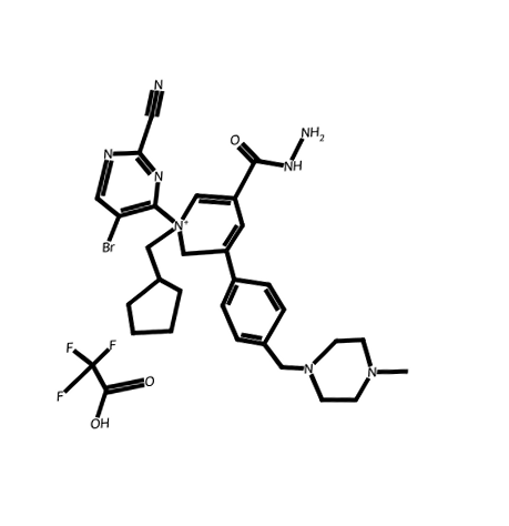 CN1CCN(Cc2ccc(C3=CC(C(=O)NN)=C[N+](CC4CCCC4)(c4nc(C#N)ncc4Br)C3)cc2)CC1.O=C(O)C(F)(F)F